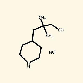 CC(C)(CC#N)CC1CCNCC1.Cl